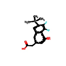 C[Si](C)(C)c1cc2cc(CC(=O)O)cc(O)c2c(F)c1F